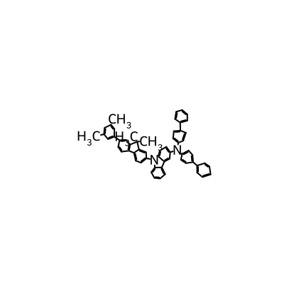 Cc1cc(C)cc(-c2ccc3c(c2)C(C)(C)c2cc(-n4c5ccccc5c5cc(N(c6ccc(-c7ccccc7)cc6)c6ccc(-c7ccccc7)cc6)ccc54)ccc2-3)c1